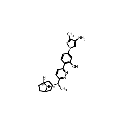 Cc1nn(-c2ccc(-c3ccc(N(C)[C@H]4CC5CC[C@H](C4)N5)nn3)c(O)c2)cc1N